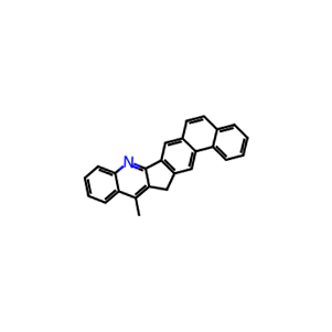 Cc1c2c(nc3ccccc13)-c1cc3ccc4ccccc4c3cc1C2